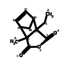 CCC12C(=O)OC(=O)C1(C)C1C=CC2C1